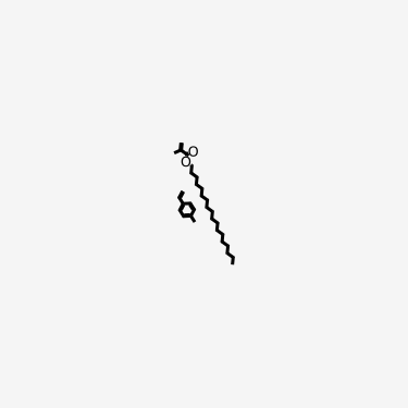 C=C(C)C(=O)OCCCCCCCCCCCCCCCCCC.C=Cc1ccc(C)cc1